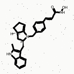 Cc1[nH]c2ccccc2c1C[C@H]1C[C@H]2CCC=C2N1Cc1ccc(C=CC(=O)NO)cc1